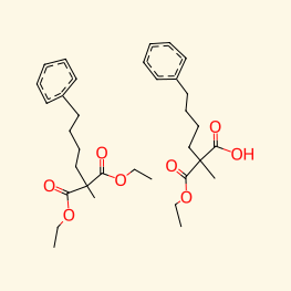 CCOC(=O)C(C)(CCCCc1ccccc1)C(=O)O.CCOC(=O)C(C)(CCCCc1ccccc1)C(=O)OCC